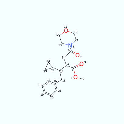 COC(=O)C(CC(=O)N1CCOCC1)C(Cc1ccccc1)C1CC1